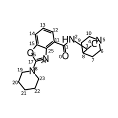 O=C(NC1CN2CCC1CC2)c1cccc2oc(N3CCCCC3)nc12